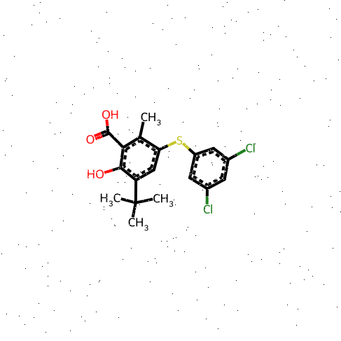 Cc1c(Sc2cc(Cl)cc(Cl)c2)cc(C(C)(C)C)c(O)c1C(=O)O